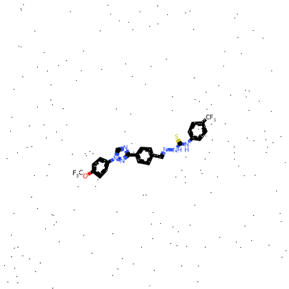 FC(F)(F)Oc1ccc(-n2cnc(-c3ccc(/C=N/NC(=S)Nc4ccc(C(F)(F)F)cc4)cc3)n2)cc1